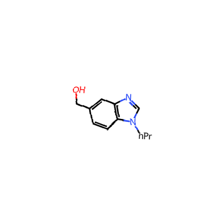 CCCn1cnc2cc(CO)ccc21